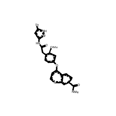 CCc1cc(NC(=O)Cc2ccc(Oc3ccnc4cc(C(=O)NC)ccc34)cc2OC)n[nH]1